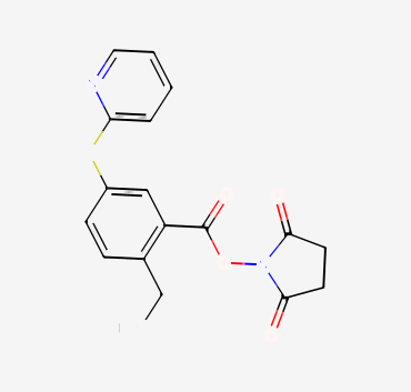 CCc1ccc(Sc2ccccn2)cc1C(=O)ON1C(=O)CCC1=O